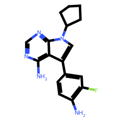 Nc1ccc(-c2cn(C3CCCC3)c3ncnc(N)c23)cc1F